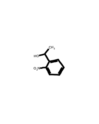 CC(O)c1ccccc1[N+](=O)[O-]